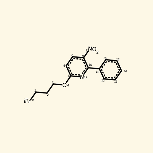 CC(C)CCCOc1ccc([N+](=O)[O-])c(-c2ccccc2)n1